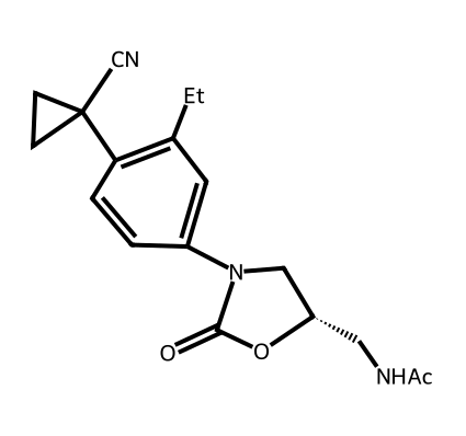 CCc1cc(N2C[C@H](CNC(C)=O)OC2=O)ccc1C1(C#N)CC1